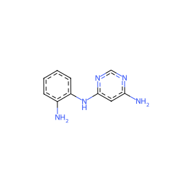 Nc1cc(Nc2ccccc2N)ncn1